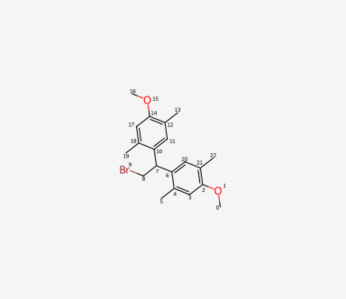 COc1cc(C)c(C(CBr)c2cc(C)c(OC)cc2C)cc1C